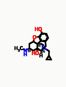 CN[C@H]1CC2Oc3c(O)ccc4c3[C@@]23CCN(CC2CC2)[C@H](C4)[C@]3(O)C1